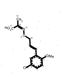 COc1ccc(Cl)cc1/C=C/CO/N=C(/C)C(=O)O